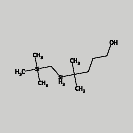 CC(C)(CCCO)[SiH2]C[Si](C)(C)C